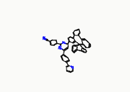 N#Cc1ccc(-c2nc(-c3ccc(-c4ccccn4)cc3)cc(-c3ccc4c(c3)C3(c5ccccc5-c5ccccc5-4)c4ccccc4-c4ccccc43)n2)cc1